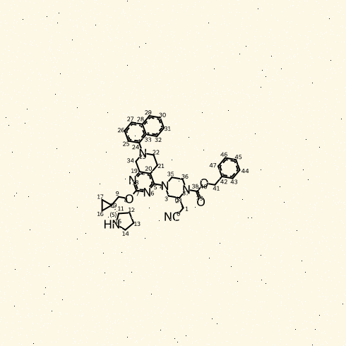 N#CC[C@H]1CN(c2nc(OCC3([C@@H]4CCCN4)CC3)nc3c2CCN(c2cccc4ccccc24)C3)CCN1C(=O)OCc1ccccc1